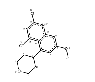 COc1cc(C2CCOCC2)c2c(Cl)nc(Cl)nc2c1